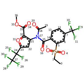 CCS(=O)(=O)c1cc(C(F)(F)F)ccc1C(=O)N(C(C)=O)c1cc(C(F)(F)C(F)(F)F)oc1C(=O)OC